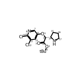 CC(C)(C)OC(=O)C(Oc1cnc(Cl)c(Cl)c1)[C@@H]1CCCN1